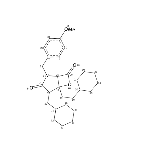 COc1ccc(CN2C(=O)C(CC3CCCCC3)C3(CCC4CCCCC4)OC(=O)C23)cc1